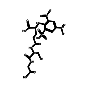 O=C(O)CNC(=O)[C@H](CS)NC(=O)CC[C@H](Nc1c([N+](=O)[O-])cc([N+](=O)[O-])cc1S(=O)(=O)O)C(=O)O